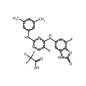 Cc1cc(C)cc(Nc2ncc(F)c(Nc3cc(F)c4oc(=O)[nH]c4c3)n2)c1.O=C(O)C(F)(F)F